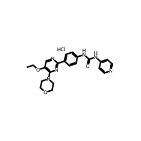 CCOc1cnc(-c2ccc(NC(=O)Nc3ccncc3)cc2)nc1N1CCOCC1.Cl